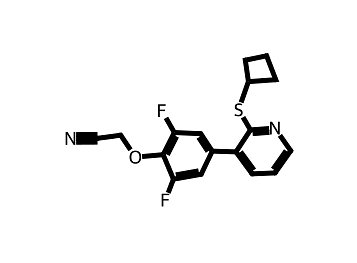 N#CCOc1c(F)cc(-c2cccnc2SC2CCC2)cc1F